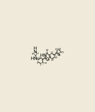 Cc1ccc(NC2CNC2)cc1C(=O)NC(C)c1cccc(-c2cccs2)c1